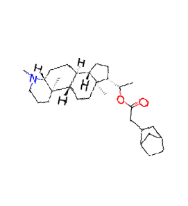 CC(OC(=O)CC1CC2CCC1C2)[C@H]1CC[C@H]2[C@@H]3CC[C@H]4N(C)CCC[C@]4(C)[C@H]3CC[C@]12C